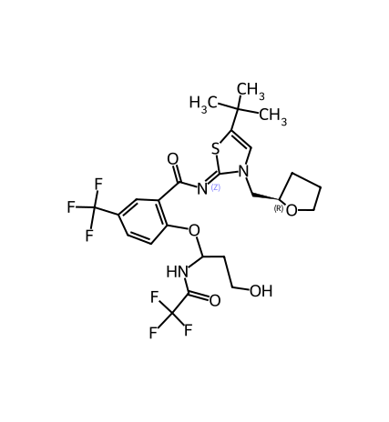 CC(C)(C)c1cn(C[C@H]2CCCO2)/c(=N/C(=O)c2cc(C(F)(F)F)ccc2OC(CCO)NC(=O)C(F)(F)F)s1